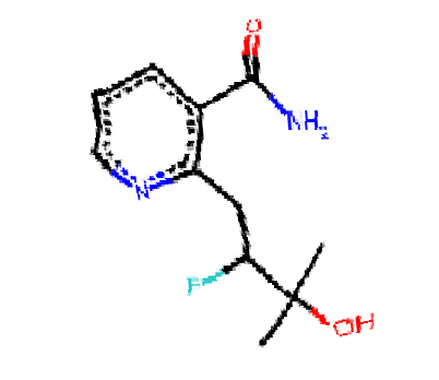 CC(C)(O)C(F)Cc1ncccc1C(N)=O